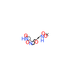 CC(C)(C)OC(=O)NCC#Cc1cc2c(C3CCC(=O)NC3=O)nccc2o1